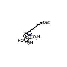 CCCCCCCCCCCCCCCCCCCC(/C=C(\C)C(=O)O)[C@@H](C)O[C@@H]1OC(C)[C@H](O)CC1O